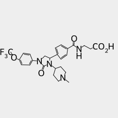 CN1CCC(N2C(=O)N(c3ccc(OC(F)(F)F)cc3)CC2c2ccc(C(=O)NCCC(=O)O)cc2)CC1